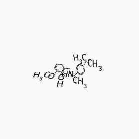 COc1cccc(CNC(C)c2ccc(C(C)C)cc2)c1O